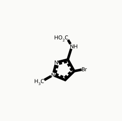 Cn1cc(Br)c(NC(=O)O)n1